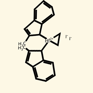 CC1=Cc2ccccc2[CH]1[Hf+2]1([CH]2C(C)=Cc3ccccc32)[CH2][CH2]1.[I-].[I-]